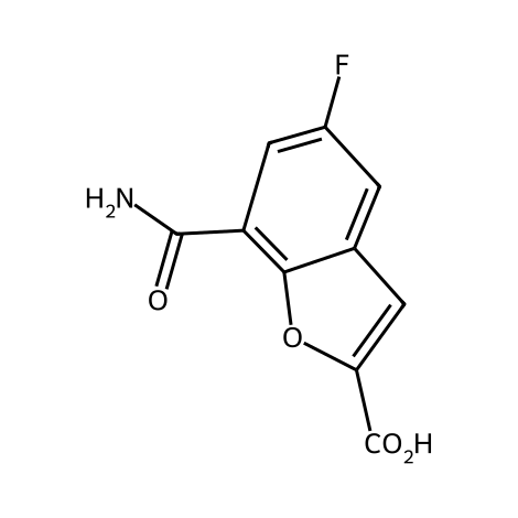 NC(=O)c1cc(F)cc2cc(C(=O)O)oc12